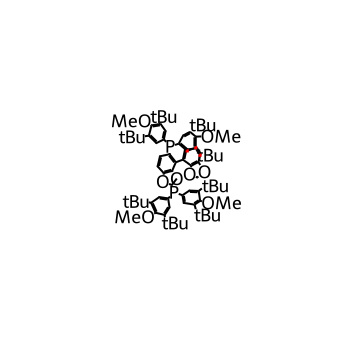 COc1c(C(C)(C)C)cc(P(c2cc(C(C)(C)C)c(OC)c(C(C)(C)C)c2)c2ccc3c(c2-c2cccc4c2OCO4)OC(P(c2cc(C(C)(C)C)c(OC)c(C(C)(C)C)c2)c2cc(C(C)(C)C)c(OC)c(C(C)(C)C)c2)O3)cc1C(C)(C)C